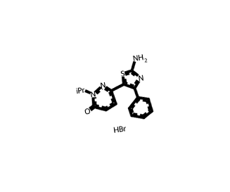 Br.CC(C)n1nc(-c2sc(N)nc2-c2ccccc2)ccc1=O